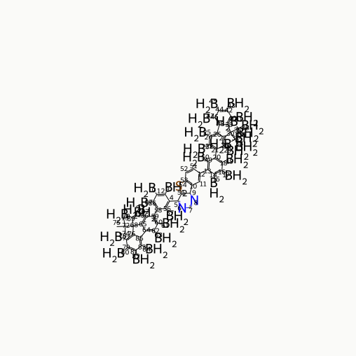 Bc1c(B)c(C2=NC=NC3c4cc(-c5c(B)c(B)c(B)c(-c6c(B)c(B)c7c(c6B)C(C(B)(B)B)(C(B)(B)B)c6c(B)c(B)c(B)c(B)c6-7)c5B)ccc4SC23)c(B)c(-c2c(B)c(B)c3c(c2B)C(C(B)B)(C(C)(C)C)c2c(B)c(B)c(B)c(B)c2-3)c1B